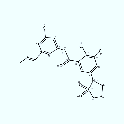 C/C=C/c1cc(Cl)cc(NC(=O)c2cc(N3CCCS3(=O)=O)cc(Cl)c2Cl)c1